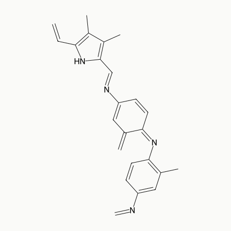 C=Cc1[nH]c(C=NC2=CC(=C)/C(=N\c3ccc(N=C)cc3C)C=C2)c(C)c1C